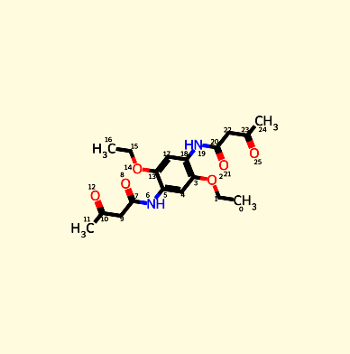 CCOc1cc(NC(=O)CC(C)=O)c(OCC)cc1NC(=O)CC(C)=O